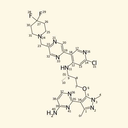 Cc1nn(C)c(OCC[C@H](C)Nc2cc(Cl)ncc2-c2cnc(CN3CCC(F)(F)CC3)cn2)c1-c1nccc(N)n1